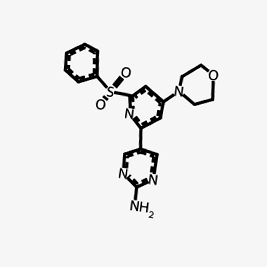 Nc1ncc(-c2cc(N3CCOCC3)cc(S(=O)(=O)c3ccccc3)n2)cn1